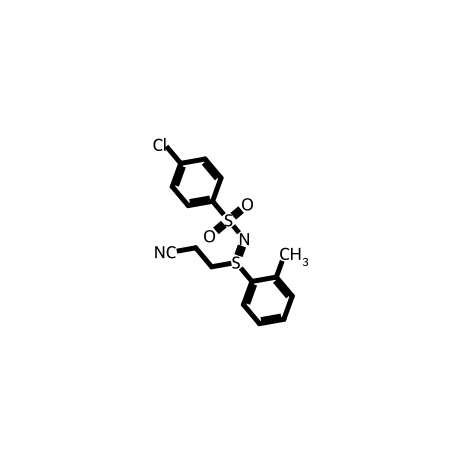 Cc1ccccc1S(CCC#N)=NS(=O)(=O)c1ccc(Cl)cc1